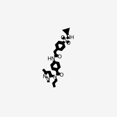 CCCN(C(=O)c1ccc(NC(=O)Cc2ccc(S(=O)(=O)NC3CC3)cc2)cc1)c1cc(C)nn1C